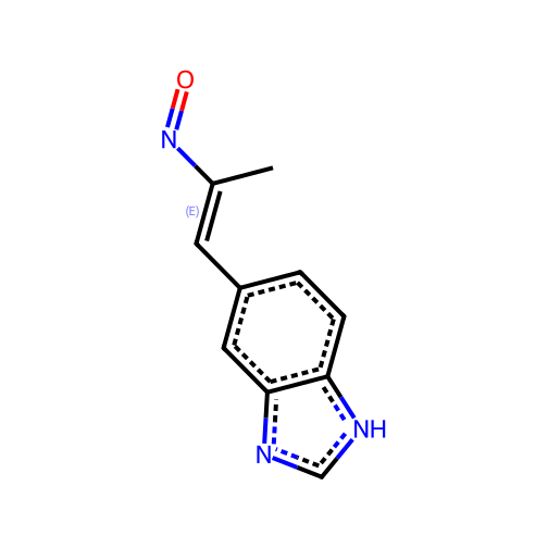 C/C(=C\c1ccc2[nH]cnc2c1)N=O